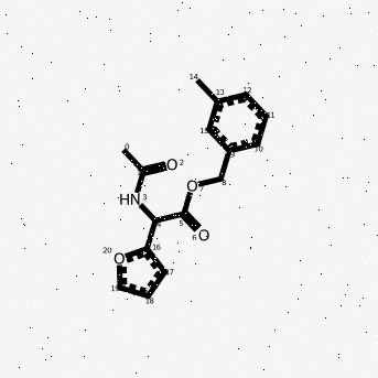 CC(=O)NC(C(=O)OCc1cccc(C)c1)c1ccco1